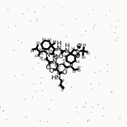 C=CCNC(=O)C(=O)[C@H](CCCCF)NC(=O)[C@H](C)N(CC(C)C(C)C)C(=O)[C@@H](NC(=O)NC1(CS(=O)(=O)C(C)(C)C)CCCCC1)C1(C)CCCCC1